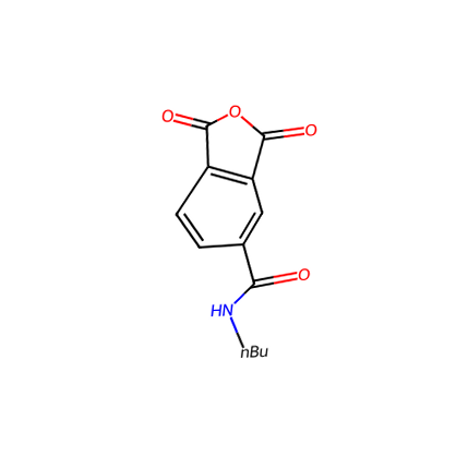 CCCCNC(=O)c1ccc2c(c1)C(=O)OC2=O